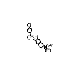 CCCN(CCC)C1CCc2cc(CNC(=O)c3ccc(Cl)cc3)ccc2C1